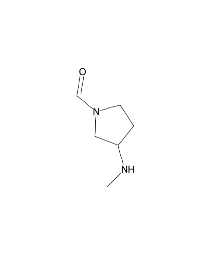 CNC1CCN(C=O)C1